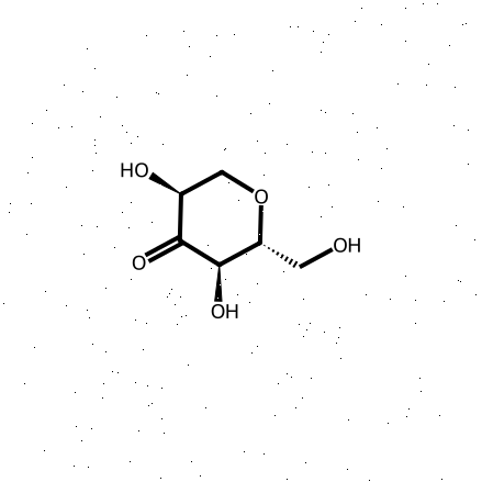 O=C1[C@@H](O)CO[C@H](CO)[C@H]1O